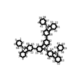 c1ccc(-n2c3ccccc3c3cc(-c4ccc5c(c4)c4cc(-c6ccc7c(c6)c6ccccc6n7-c6ccccc6)ccc4n5-c4ccc5c6ccccc6n(-c6ccccc6)c5c4)ccc32)cc1